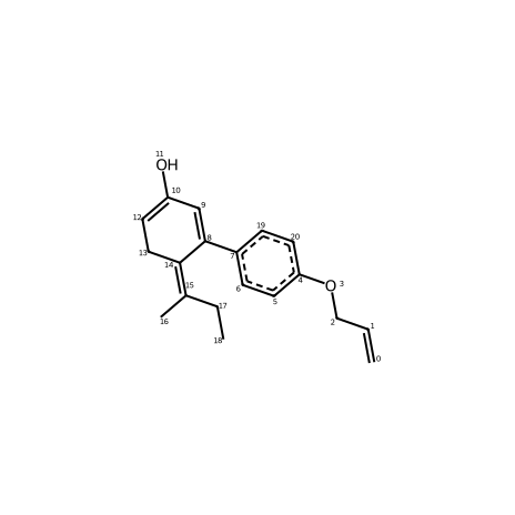 C=CCOc1ccc(C2=CC(O)=CCC2=C(C)CC)cc1